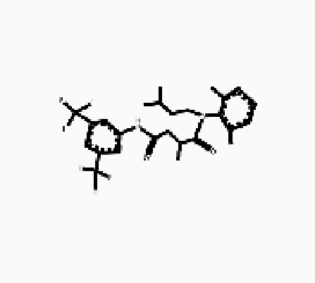 Cc1cccc(C)c1N(CCC(C)C)C(=O)C(C)CC(=O)Nc1cc(C(F)(F)F)cc(C(F)(F)F)c1